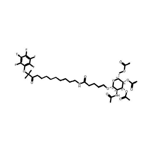 CC(=O)N[C@H]1[C@H](OCCCCC(=O)NCCCCCCCCCC(=O)C(C)(C)Oc2c(F)c(F)c(F)c(F)c2F)O[C@H](COC(C)=O)[C@H](OC(C)=O)[C@@H]1OC(C)=O